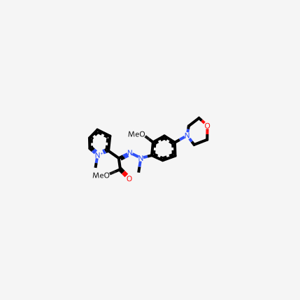 COC(=O)/C(=N\N(C)c1ccc(N2CCOCC2)cc1OC)c1cccc[n+]1C